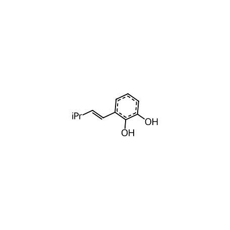 CC(C)/C=C/c1cccc(O)c1O